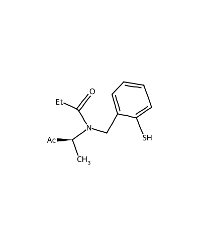 CCC(=O)N(Cc1ccccc1S)[C@@H](C)C(C)=O